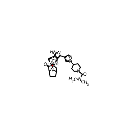 CN(C)C(=O)N1CCC(n2cc(-c3n[nH]c4cnc(N5C6CCC5C(=O)N(C)C6)nc34)cn2)CC1